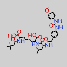 COc1ccc(NC(=O)Nc2ccc(CC(=O)NC(CC(C)C)C(=O)NC(CCCCC(NC(=O)CC(C)(C)C)C(=O)O)C(=O)O)cc2)cc1